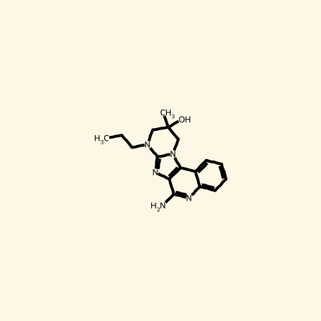 CCCN1CC(C)(O)Cn2c1nc1c(N)nc3ccccc3c12